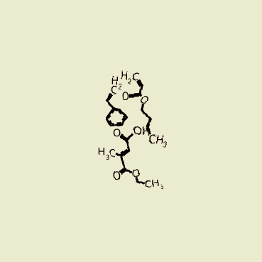 C=CC(=O)OCCCC.C=Cc1ccccc1.CCOC(=O)C(C)=CC(=O)O